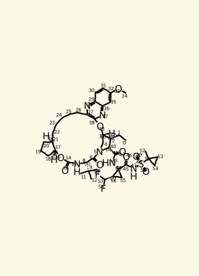 CC[C@@H]1[C@@H]2CN(C(=O)[C@H](C(C)(C)C)NC(=O)O[C@@H]3CCC[C@H]3CCCCCc3nc4ccc(OC)cc4nc3O2)[C@@H]1C(=O)N[C@]1(C(=O)NS(=O)(=O)C2(C)CC2)C[C@H]1C(F)F